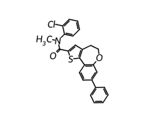 CN(C(=O)c1cc2c(s1)-c1ccc(-c3ccccc3)cc1OCC2)c1ccccc1Cl